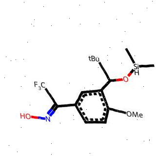 COc1ccc(C(=NO)C(F)(F)F)cc1C(O[SiH](C)C)C(C)(C)C